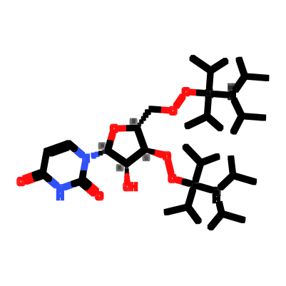 CC(C)[SiH](C(C)C)[Si](OOC[C@H]1O[C@@H](n2ccc(=O)[nH]c2=O)[C@@H](O)[C@@H]1OO[Si](C(C)C)(C(C)C)[SiH](C(C)C)C(C)C)(C(C)C)C(C)C